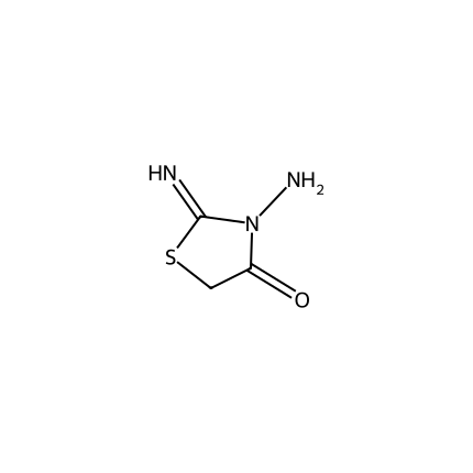 N=C1SCC(=O)N1N